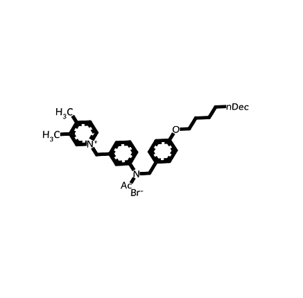 CCCCCCCCCCCCCCOc1ccc(CN(C(C)=O)c2cccc(C[n+]3ccc(C)c(C)c3)c2)cc1.[Br-]